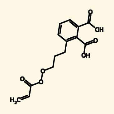 C=CC(=O)OOCCCc1cccc(C(=O)O)c1C(=O)O